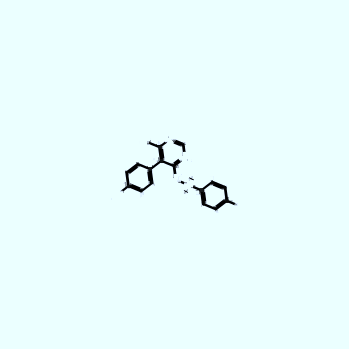 O=S(=O)(Nc1ncnc(Cl)c1-c1ccc(C(F)(F)F)cc1)c1ccc(Cl)cc1